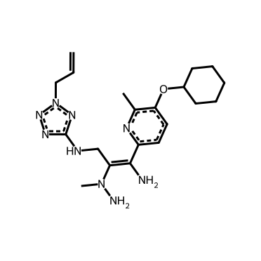 C=CCn1nnc(NC/C(=C(/N)c2ccc(OC3CCCCC3)c(C)n2)N(C)N)n1